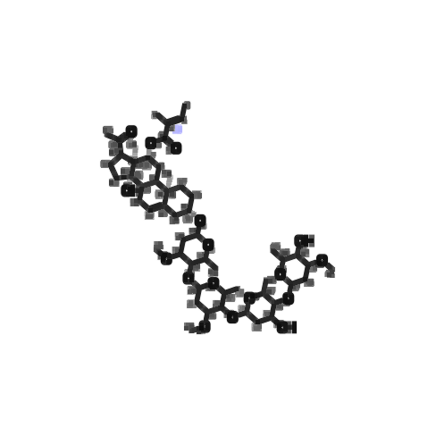 C/C=C(\C)C(=O)O[C@@H]1CC2C(CC=C3C[C@@H](OC4CC(OC)C(OC5CC(OC)C(OC6CC(O)C(OC7CC(OC)C(O)C(C)O7)C(C)O6)C(C)O5)C(C)O4)CC[C@@]32C)[C@@]2(O)CCC(C(C)=O)[C@@]12C